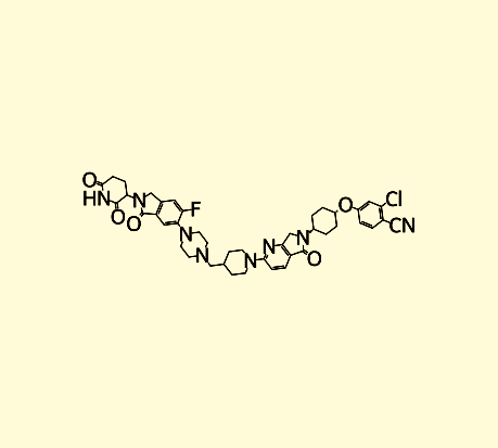 N#Cc1ccc(O[C@H]2CC[C@H](N3Cc4nc(N5CCC(CN6CCN(c7cc8c(cc7F)CN(C7CCC(=O)NC7=O)C8=O)CC6)CC5)ccc4C3=O)CC2)cc1Cl